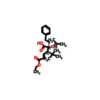 CCOC(=O)C=C[C@H](C(C)(C)C)[C@](CCc1ccccc1)(O[SiH](C)C)C(=O)O